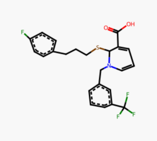 O=C(O)C1=CC=CN(Cc2cccc(C(F)(F)F)c2)C1SCCCc1ccc(F)cc1